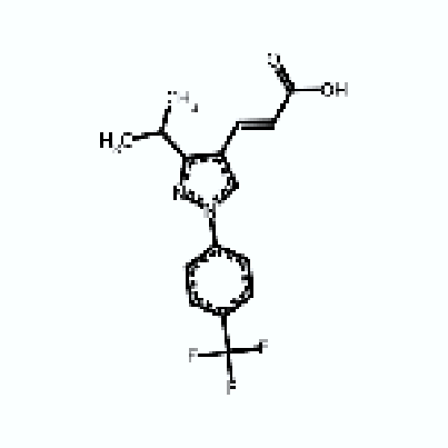 CC(C)c1nn(-c2ccc(C(F)(F)F)cc2)cc1C=CC(=O)O